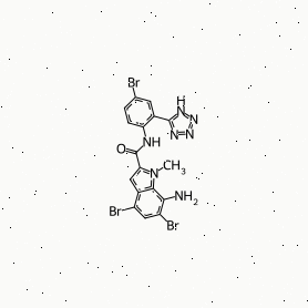 Cn1c(C(=O)Nc2ccc(Br)cc2-c2nnn[nH]2)cc2c(Br)cc(Br)c(N)c21